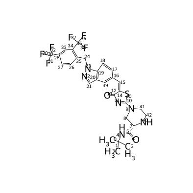 CC(C)(C)NC(=O)[C@@H]1CN(C2=NC(=O)C(=Cc3ccc4c(cnn4Cc4ccc(C(F)(F)F)cc4C(F)(F)F)c3)S2)CCN1